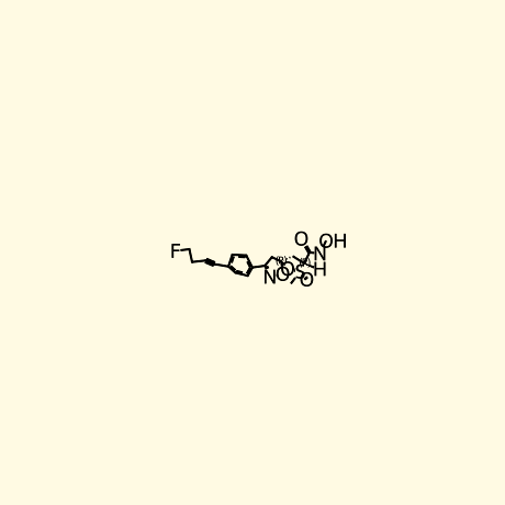 C[C@@](C[C@H]1CC(c2ccc(C#CCCF)cc2)=NO1)(C(=O)NO)S(C)(=O)=O